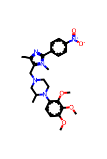 COc1ccc(N2CCN(Cc3c(C)nc(-c4ccc([N+](=O)[O-])cc4)n3C)CC2C)c(OC)c1OC